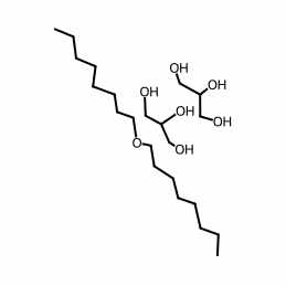 CCCCCCCCOCCCCCCCC.OCC(O)CO.OCC(O)CO